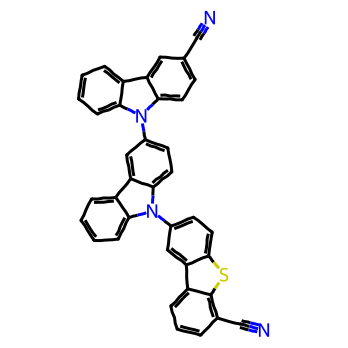 N#Cc1ccc2c(c1)c1ccccc1n2-c1ccc2c(c1)c1ccccc1n2-c1ccc2sc3c(C#N)cccc3c2c1